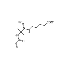 C=CC(=O)NC(C)(C)C(=O)NCCCCC(=O)[O-].[Na+]